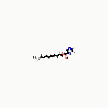 CCCCCCCCCCCOC(=O)c1cnccn1